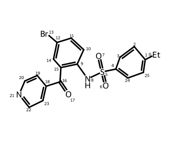 CCc1ccc(S(=O)(=O)Nc2ccc(Br)cc2C(=O)c2ccncc2)cc1